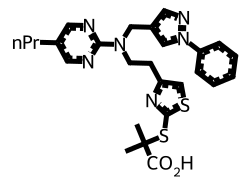 CCCc1cnc(N(CCc2csc(SC(C)(C)C(=O)O)n2)Cc2cnn(-c3ccccc3)c2)nc1